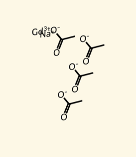 CC(=O)[O-].CC(=O)[O-].CC(=O)[O-].CC(=O)[O-].[Gd+3].[Na+]